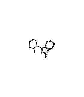 CC1CC=CC=C1c1n[nH]c2ccccc12